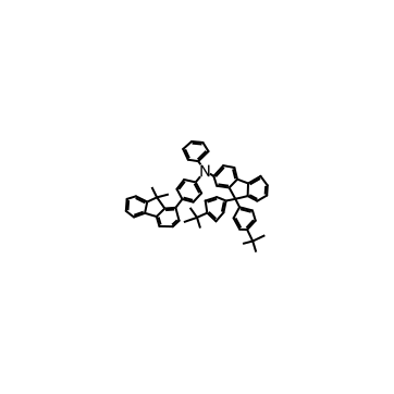 CC(C)(C)c1ccc(C2(c3ccc(C(C)(C)C)cc3)c3ccccc3-c3ccc(N(c4ccccc4)c4ccc(-c5cccc6c5C(C)(C)c5ccccc5-6)cc4)cc32)cc1